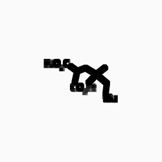 CCOC(=O)C(CC(C)(C)CC(C)(C)C)C(=O)OCC